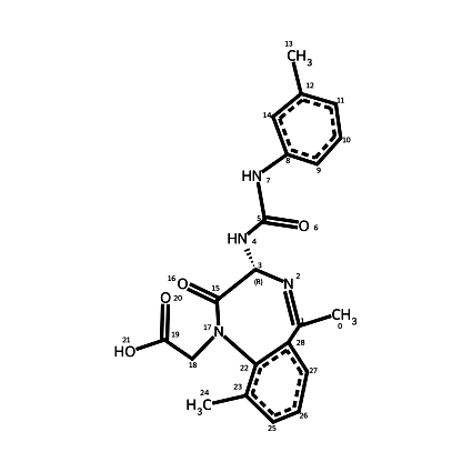 CC1=N[C@@H](NC(=O)Nc2cccc(C)c2)C(=O)N(CC(=O)O)c2c(C)cccc21